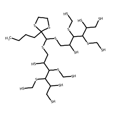 CCCCC1(C(SCC(S)C(SCS)C(SCS)C(S)CS)SCC(S)C(SCS)C(SCS)C(S)CS)SCCS1